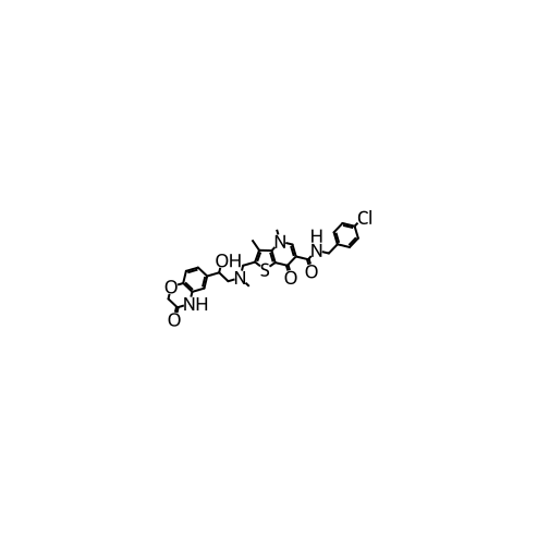 Cc1c(CN(C)CC(O)c2ccc3c(c2)NC(=O)CO3)sc2c(=O)c(C(=O)NCc3ccc(Cl)cc3)cn(C)c12